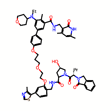 CCN(c1cc(-c2ccc(OCCCOCCOc3cc(-c4scnc4C)ccc3CNC(=O)C3C[C@@H](O)CN3C(=O)[C@H](C(C)C)N3Cc4ccccc4C3=O)cc2)cc(C(=O)NCc2c(C)cc(C)[nH]c2=O)c1C)C1CCOCC1